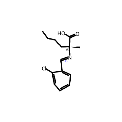 CCCC[C@@](C)(/N=C/c1ccccc1Cl)C(=O)O